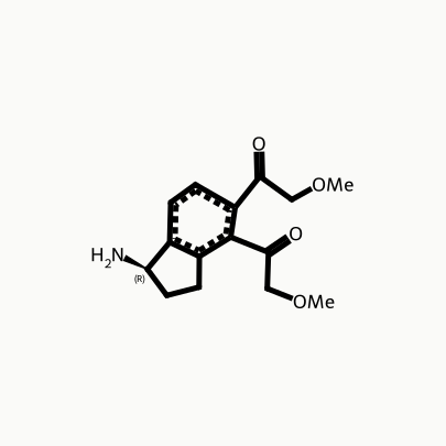 COCC(=O)c1ccc2c(c1C(=O)COC)CC[C@H]2N